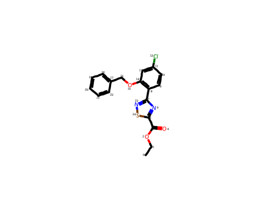 CCOC(=O)c1nc(-c2ccc(Cl)cc2OCc2ccccc2)ns1